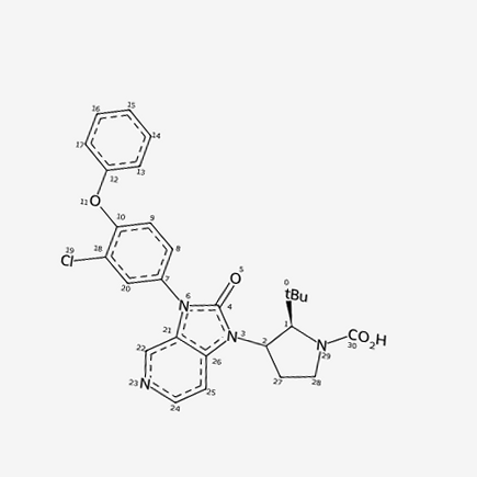 CC(C)(C)[C@@H]1C(n2c(=O)n(-c3ccc(Oc4ccccc4)c(Cl)c3)c3cnccc32)CCN1C(=O)O